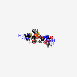 CO[C@H]1[C@@H](O)[C@H](n2cnc3c(=O)[nH]c(NC(=O)C(C)C)nc32)O[C@@H]1COP(=S)(OCCC#N)O[C@H]1C[C@H](c2snc3c(N)ncnc23)O[C@@H]1CO